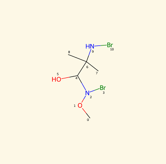 CON(Br)C(O)C(C)(C)NBr